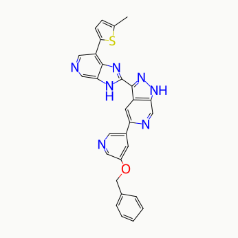 Cc1ccc(-c2cncc3[nH]c(-c4n[nH]c5cnc(-c6cncc(OCc7ccccc7)c6)cc45)nc23)s1